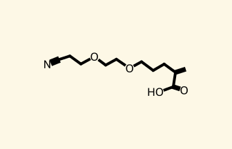 C=C(CCCOCCOCCC#N)C(=O)O